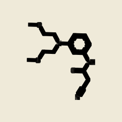 COCCN(CCOC)c1cccc(NC(=O)CC#N)c1